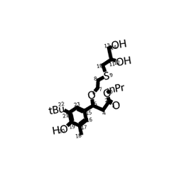 CCCOC(=O)CC(OCCSCC(O)CO)c1cc(C)c(O)c(C(C)(C)C)c1